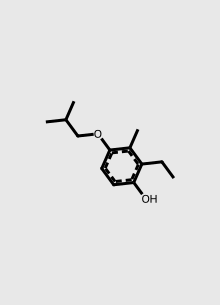 CCc1c(O)ccc(OCC(C)C)c1C